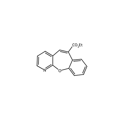 CCOC(=O)C1=Cc2cccnc2Oc2ccccc21